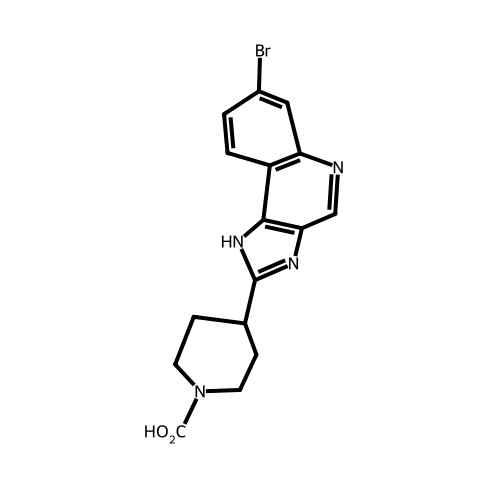 O=C(O)N1CCC(c2nc3cnc4cc(Br)ccc4c3[nH]2)CC1